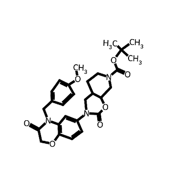 COc1ccc(CN2C(=O)COc3ccc(N4CC5CCN(C(=O)OC(C)(C)C)CC5OC4=O)cc32)cc1